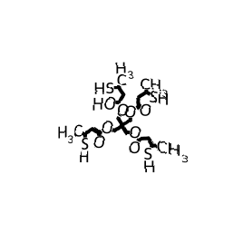 CC(S)CC(=O)OCC(COC(=O)CC(C)S)(COC(=O)CC(C)S)COC(O)CC(C)S